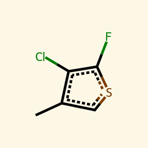 Cc1csc(F)c1Cl